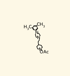 CC(=O)ON1CCC(CCN2CCN(c3cc(C)cc(C)c3)CC2)CC1